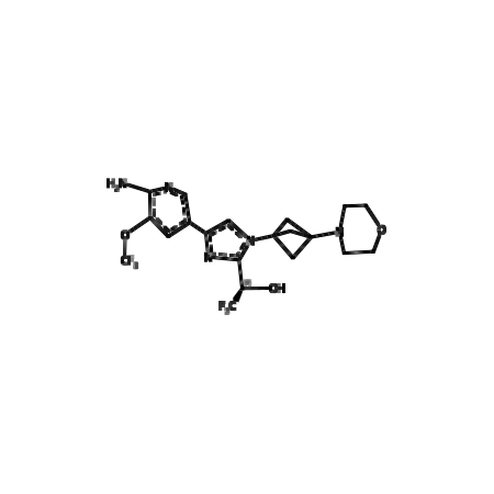 Nc1ncc(-c2cn(C34CC(N5CCOCC5)(C3)C4)c([C@@H](O)C(F)(F)F)n2)cc1OC(F)(F)F